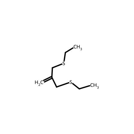 C=C(CSCC)CSCC